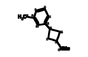 CNC1CC(c2cccc(C)c2)C1